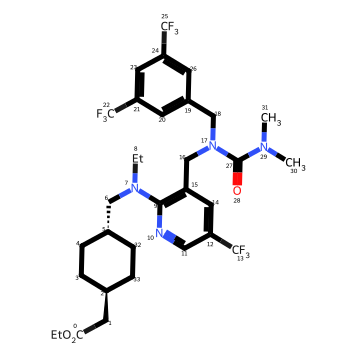 CCOC(=O)C[C@H]1CC[C@H](CN(CC)c2ncc(C(F)(F)F)cc2CN(Cc2cc(C(F)(F)F)cc(C(F)(F)F)c2)C(=O)N(C)C)CC1